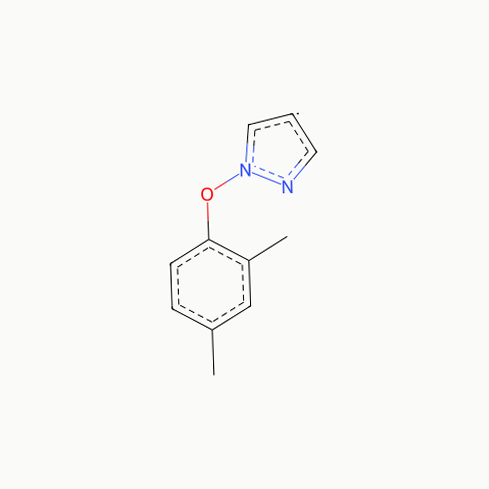 Cc1ccc(On2c[c]cn2)c(C)c1